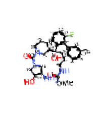 COC(=O)NCCC[C@](O)(c1cccc(F)c1-c1cccc(C)c1)[C@@H]1CCCN(C(=O)N2C[C@@H](N)[C@@H](O)C2)C1